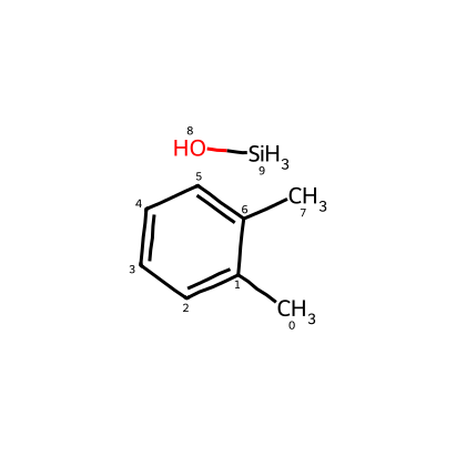 Cc1ccccc1C.O[SiH3]